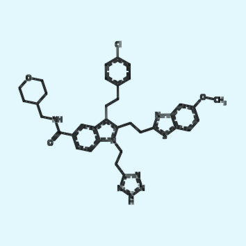 COc1ccc2sc(CCc3c(CCc4ccc(Cl)cc4)c4cc(C(=O)NCC5CCOCC5)ccc4n3CCc3nn[nH]n3)nc2c1